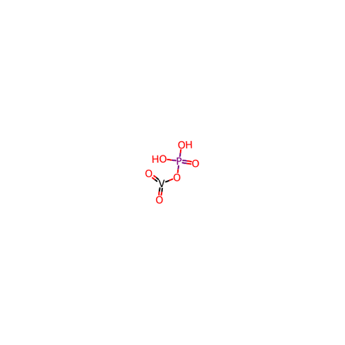 [O]=[V](=[O])[O]P(=O)(O)O